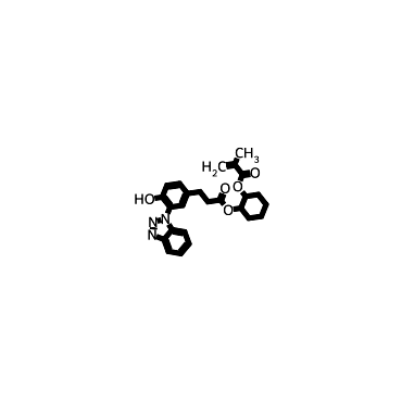 C=C(C)C(=O)OC1CCCCC1OC(=O)CCc1ccc(O)c(-n2nnc3ccccc32)c1